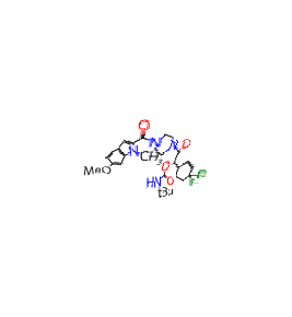 COc1ccc2cc(C(=O)N3CCN(C(=O)[C@@H](OC(=O)NC(C)(C)C)C4CCC(F)(F)CC4)CC3)n(C)c2c1